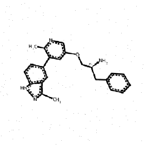 Cc1ncc(OC[C@@H](N)Cc2ccccc2)cc1-c1ccc2[nH]nc(C)c2c1